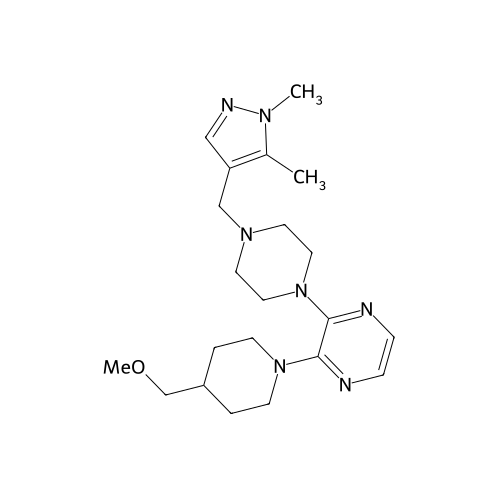 COCC1CCN(c2nccnc2N2CCN(Cc3cnn(C)c3C)CC2)CC1